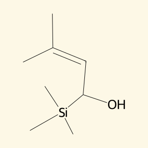 CC(C)=CC(O)[Si](C)(C)C